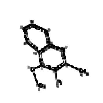 CCCCOc1c(C(C)C)c(C)nc2ccccc12